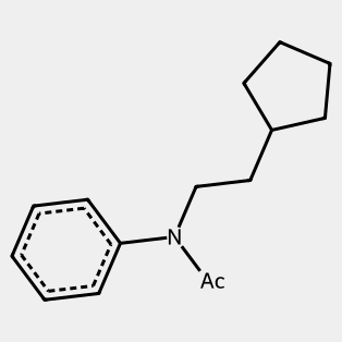 CC(=O)N(CCC1CCCC1)c1ccccc1